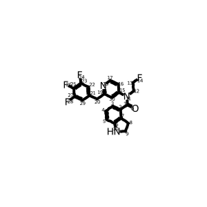 O=C(c1cccc2c1CCN2)N(CCF)c1ccnc(Cc2cc(F)c(F)c(F)c2)c1